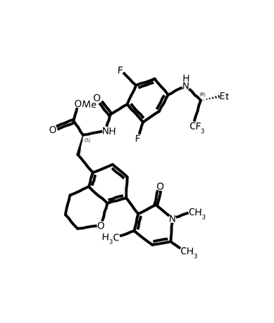 CC[C@@H](Nc1cc(F)c(C(=O)N[C@@H](Cc2ccc(-c3c(C)cc(C)n(C)c3=O)c3c2CCCO3)C(=O)OC)c(F)c1)C(F)(F)F